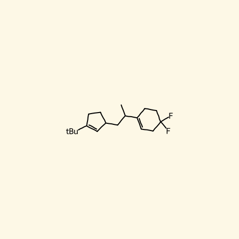 CC(CC1C=C(C(C)(C)C)CC1)C1=CCC(F)(F)CC1